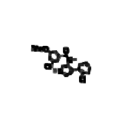 COc1cc(C(=O)N(C)c2cnccc2-c2ccccc2Cl)cc(C(F)(F)F)c1